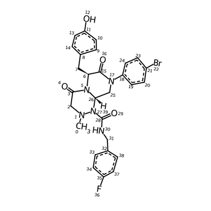 CN1CC(=O)N2[C@@H](Cc3ccc(O)cc3)C(=O)N(c3ccc(Br)cc3)C[C@@H]2N1C(=O)NCc1ccc(F)cc1